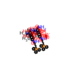 C[C@H]1c2ccc(NC(=O)CCCCC[P+](c3ccccc3)(c3ccccc3)c3ccccc3)c(O)c2C(=O)C2=C(O)[C@]3(O)C(=O)C(C(N)=O)=C(O)[C@@H](N(C)C)C3[C@@H](O)C21.C[C@H]1c2ccc(NC(=O)CCCCC[P+](c3ccccc3)(c3ccccc3)c3ccccc3)c(O)c2C(=O)C2=C(O)[C@]3(O)C(=O)C(C(N)=O)=C(O)[C@@H](N(C)C)C3[C@@H](O)C21.O=C([O-])C(=O)[O-]